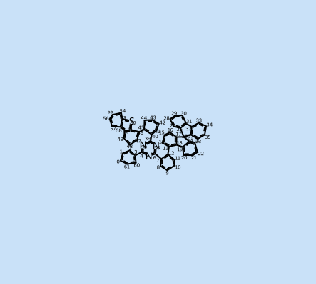 c1ccc(-c2nc(-c3ccccc3-c3cccc4c3-c3ccccc3C43c4ccccc4-c4ccccc43)nc(-c3ccccc3-c3cccc4c3sc3ccccc34)n2)cc1